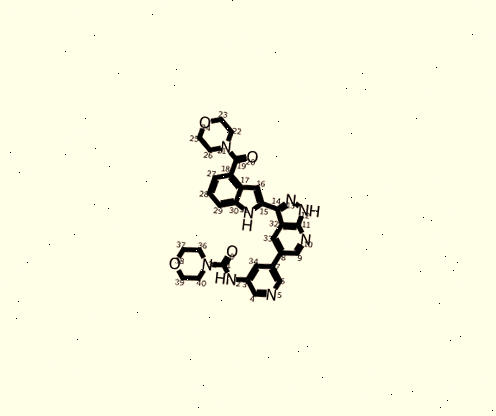 O=C(Nc1cncc(-c2cnc3[nH]nc(-c4cc5c(C(=O)N6CCOCC6)cccc5[nH]4)c3c2)c1)N1CCOCC1